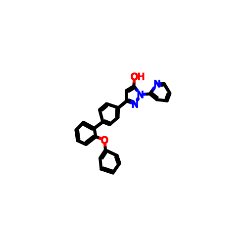 Oc1cc(-c2ccc(-c3ccccc3Oc3ccccc3)cc2)nn1-c1ccccn1